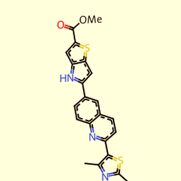 COC(=O)c1cc2[nH]c(-c3ccc4nc(-c5sc(C)nc5C)ccc4c3)cc2s1